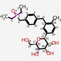 CCP(=O)(CC)Cc1ccc(Cc2cc([C@@H]3O[C@H](CO)[C@@H](O)[C@H](O)[C@H]3O)ccc2C)cc1